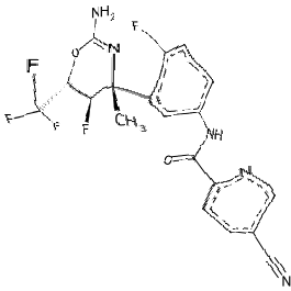 C[C@]1(c2cc(NC(=O)c3ccc(C#N)cn3)ccc2F)N=C(N)O[C@@H](C(F)(F)F)[C@@H]1F